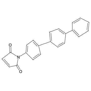 O=C1C=CC(=O)N1c1ccc(-c2ccc(-c3ccccc3)cc2)cc1